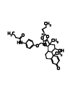 CCC[C@@H]1OC2CC3C4CCC5=CC(=O)C=CC5(C)C4C(O)CC3(C)C2(C(=O)COc2ccc(NC(=O)CC)cc2)O1